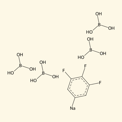 Fc1c[c]([Na])cc(F)c1F.OB(O)O.OB(O)O.OB(O)O.OB(O)O